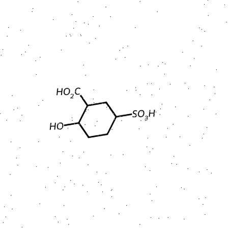 O=C(O)C1CC(S(=O)(=O)O)CCC1O